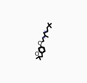 CC(/C=C/CC(C)(C)C)=C\COc1ccc2c(c1)OC(C)(C)C2